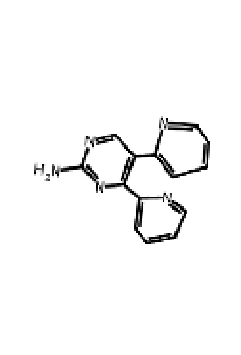 Nc1ncc(-c2ccccn2)c(-c2ccccn2)n1